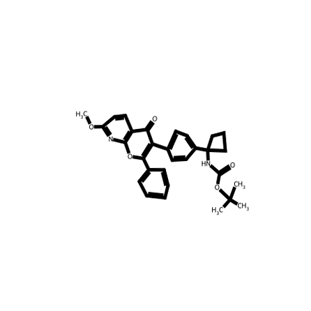 COc1ccc2c(=O)c(-c3ccc(C4(NC(=O)OC(C)(C)C)CCC4)cc3)c(-c3ccccc3)oc2n1